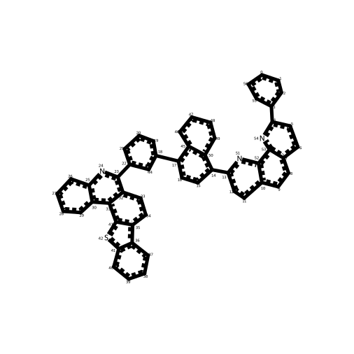 c1ccc(-c2ccc3ccc4ccc(-c5ccc(-c6cccc(-c7nc8ccccc8c8c7ccc7c9ccccc9sc78)c6)c6ccccc56)nc4c3n2)cc1